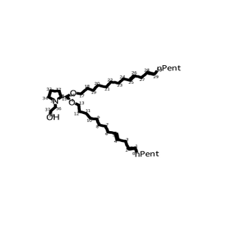 CCCCCC=CCC=CCCCCCCCCOC(OCCCCCCCCC=CCC=CCCCCC)[C@H]1CCCN1CCO